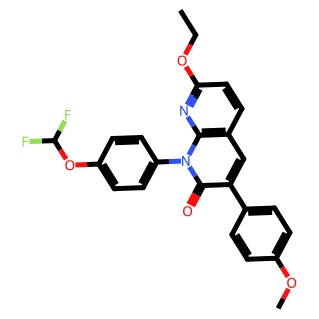 CCOc1ccc2cc(-c3ccc(OC)cc3)c(=O)n(-c3ccc(OC(F)F)cc3)c2n1